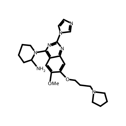 COc1cc2c(N3CCCCC3N)nc(-n3ccnc3)nc2cc1OCCCN1CCCC1